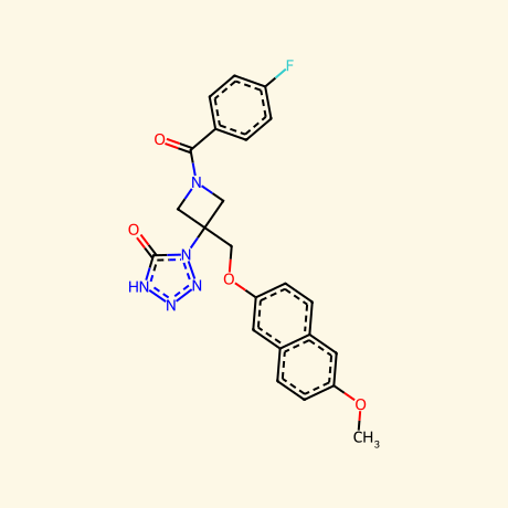 COc1ccc2cc(OCC3(n4nn[nH]c4=O)CN(C(=O)c4ccc(F)cc4)C3)ccc2c1